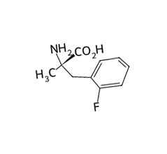 C[C@](N)(Cc1ccccc1F)C(=O)O